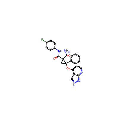 NC(=O)C1(C(=O)Nc2ccc(F)cc2)CC1(Oc1ccnc2n[nH]cc12)c1ccccc1